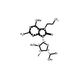 CCC(OC(C)=O)[C@H]1O[C@@H](n2c(=O)n(CCC(F)(F)F)c3c(OC)nc(N)nc32)[C@H](OC(C)=O)[C@H]1F